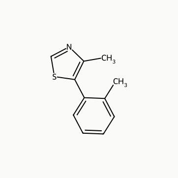 Cc1ccccc1-c1scnc1C